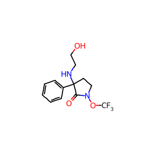 O=C1N(OC(F)(F)F)CCC1(NCCO)c1ccccc1